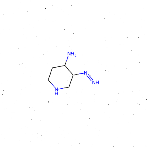 N=NC1CNCCC1N